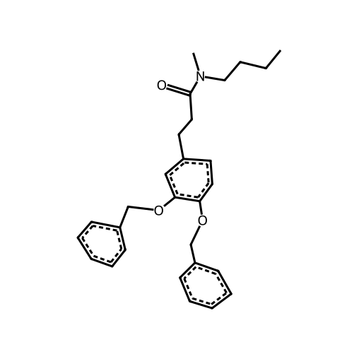 CCCCN(C)C(=O)CCc1ccc(OCc2ccccc2)c(OCc2ccccc2)c1